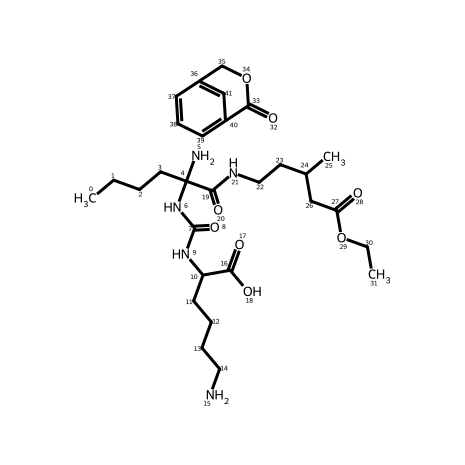 CCCCC(N)(NC(=O)NC(CCCCN)C(=O)O)C(=O)NCCC(C)CC(=O)OCC.O=C1OCc2cccc1c2